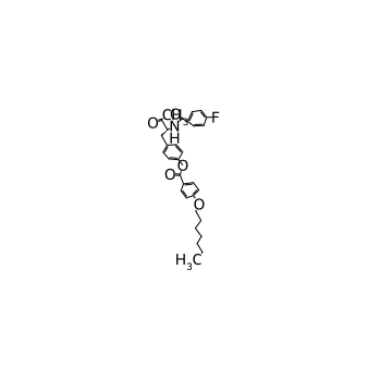 CCCCCCCOc1ccc(C(=O)Oc2ccc(C[C@H](NC(=O)c3ccc(F)cc3)C(C)=O)cc2)cc1